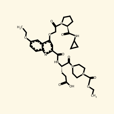 CCOC(=O)N1CCN(C(=O)[C@H](CCC(=O)O)NC(=O)c2cc(OCC(=O)N3CCC[C@H]3C(=O)NC3CC3)c3cc(OCC)ccc3n2)CC1